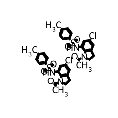 CC(=O)N1CCc2cc(Cl)cc(NS(=O)(=O)c3ccc(C)cc3)c21.CC(=O)N1CCc2cc(Cl)cc(NS(=O)(=O)c3ccc(C)cc3)c21